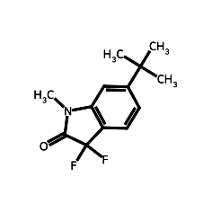 CN1C(=O)C(F)(F)c2ccc(C(C)(C)C)cc21